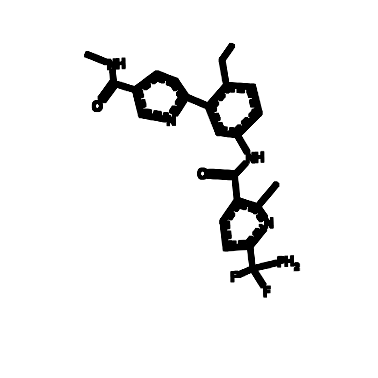 CCc1ccc(NC(=O)c2ccc(C(F)(F)P)nc2C)cc1-c1ccc(C(=O)NC)cn1